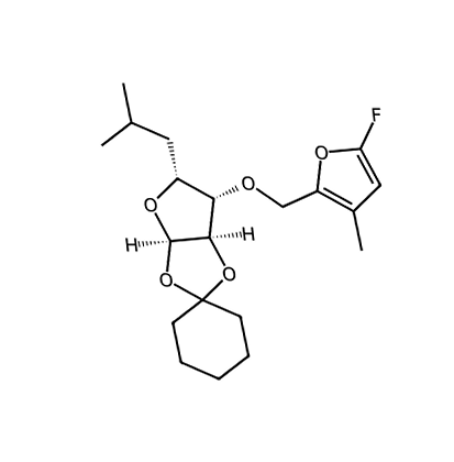 Cc1cc(F)oc1CO[C@@H]1[C@H]2OC3(CCCCC3)O[C@H]2O[C@@H]1CC(C)C